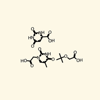 CC(C)(C)OCC(=O)O.Cc1cn(CC(=O)O)c(=O)[nH]c1=O.O=C(O)c1cc(=O)[nH]c(=O)[nH]1